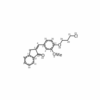 COc1cc(/C=C2/Cc3ccccc3C2=O)ccc1OCCCCl